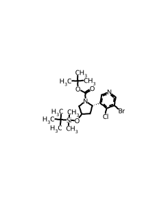 CC(C)(C)OC(=O)N1CC(O[Si](C)(C)C(C)(C)C)C[C@H]1c1cncc(Br)c1Cl